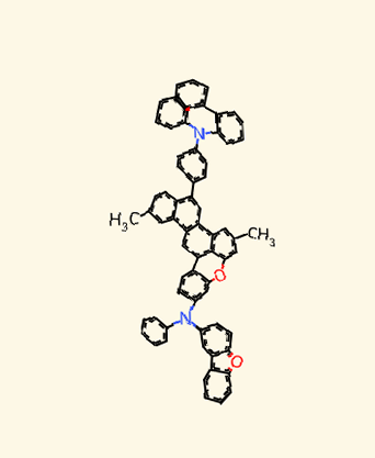 Cc1ccc2c(-c3ccc(N(c4ccccc4)c4ccccc4-c4ccccc4)cc3)cc3c4cc(C)cc5c4c(cc3c2c1)-c1ccc(N(c2ccccc2)c2ccc3oc4ccccc4c3c2)cc1O5